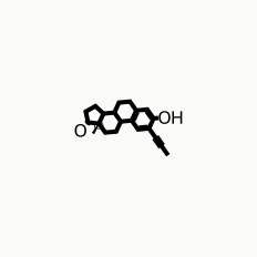 CC#Cc1cc2c(cc1O)CCC1C2CC[C@]2(C)C(=O)CCC12